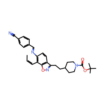 C/C=C\c1c(/N=C/c2ccc(C#N)cc2)ccc2c(CCC3CCN(C(=O)OC(C)(C)C)CC3)noc12